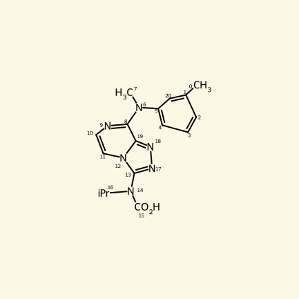 Cc1cccc(N(C)c2nccn3c(N(C(=O)O)C(C)C)nnc23)c1